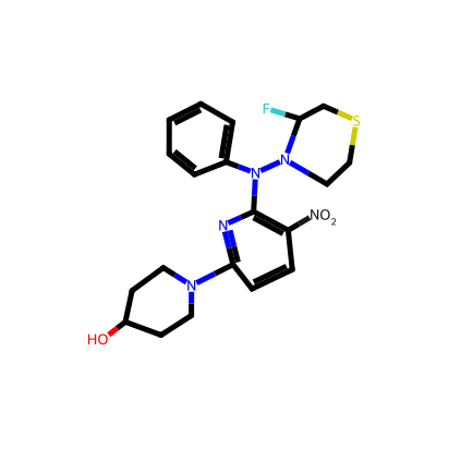 O=[N+]([O-])c1ccc(N2CCC(O)CC2)nc1N(c1ccccc1)N1CCSCC1F